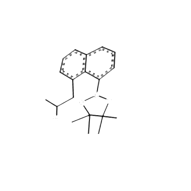 [2H]C(C)Cc1cccc2cccc(B3OC(C)(C)C(C)(C)O3)c12